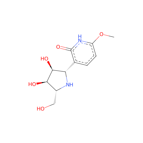 COc1ccc([C@@H]2N[C@H](CO)[C@@H](O)[C@H]2O)c(=O)[nH]1